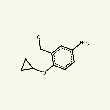 O=[N+]([O-])c1ccc(OC2CC2)c(CO)c1